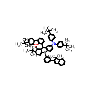 CC(C)(C)C1=CCC2C(=C1)Oc1c2cccc1C1C2=CC(C(C)(C)C)CC=C2B(c2cccc(C3=CC4=CC=CCC4C3(C)C)c2)c2ccc(N(c3ccc(C(C)(C)C)cc3)c3ccc(C(C)(C)C)cc3)cc21